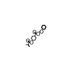 C=C(C)C(=O)OC1CCC(C(=O)OCOc2ccccc2)CC1